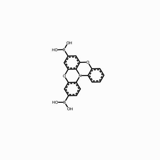 OB(O)c1ccc2c(c1)Oc1cc(B(O)O)cc3c1N2c1ccccc1O3